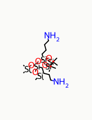 C[Si](C)(C)O[Si](CCCCN)(O[Si](C)(C)C)O[Si](CCCCN)(O[Si](C)(C)C)O[Si](C)(C)C